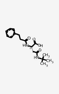 CC(C)(C)NC(=O)C[C@H](NC(=O)CCc1ccccc1)C(=O)O